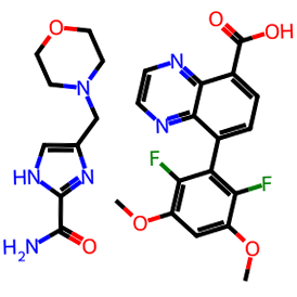 COc1cc(OC)c(F)c(-c2ccc(C(=O)O)c3nccnc23)c1F.NC(=O)c1nc(CN2CCOCC2)c[nH]1